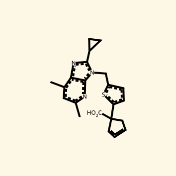 Cc1cc(C)c2nc(C3CC3)n(Cc3ccc(C4(C(=O)O)C=C=CC4)s3)c2n1